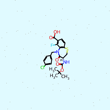 CC(C)(C)OC(=O)N[C@H]1CSc2ccc(C(=O)O)c(F)c2N(Cc2ccc(Cl)cc2)C1=O